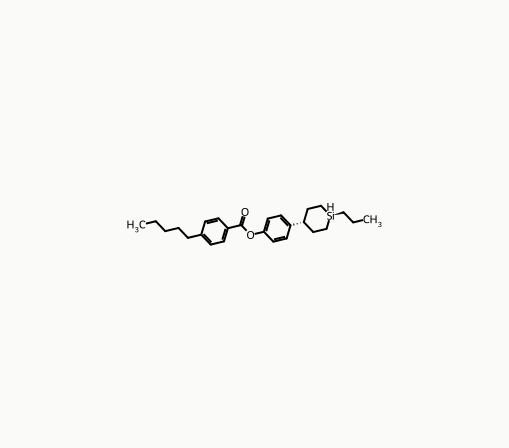 CCCCCc1ccc(C(=O)Oc2ccc([C@H]3CC[Si@H](CCC)CC3)cc2)cc1